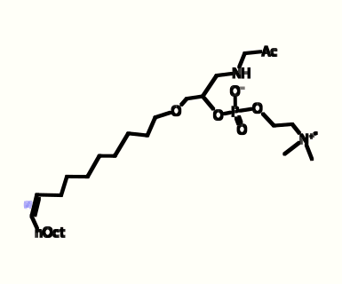 CCCCCCCC/C=C\CCCCCCCCOCC(CNCC(C)=O)OP(=O)([O-])OCC[N+](C)(C)C